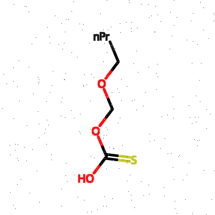 CCCCOCOC(O)=S